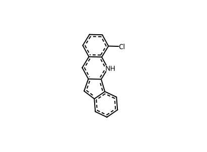 Clc1cccc2cc3cc4ccccc4c-3[nH]c12